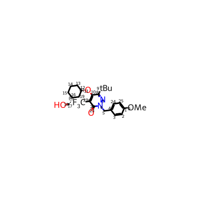 COc1ccc(Cn2nc(C(C)(C)C)c(O[C@H]3CCC[C@@H](CO)C3)c(C(F)(F)F)c2=O)cc1